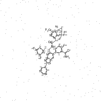 NC(=O)c1cc(-c2cc3sc(-c4cncnc4)nc3nc2[C@H](Cc2cc(F)cc(F)c2)NC(=O)Cn2nc(C(F)(F)F)c3c2C(F)(F)[C@@H]2C[C@H]32)ccc1F